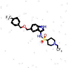 O=S(=O)(Nc1c[nH]c2ccc(COCc3ccc(C(F)(F)F)cc3)cc12)C1CCN(CC(F)(F)F)CC1